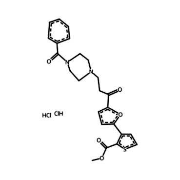 COC(=O)c1sccc1-c1ccc(C(=O)CCN2CCN(C(=O)c3ccccc3)CC2)o1.Cl.Cl